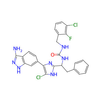 Nc1n[nH]c2cc(-c3nc(C(Cc4ccccc4)NC(=O)NCc4cccc(Cl)c4F)[nH]c3Cl)ccc12